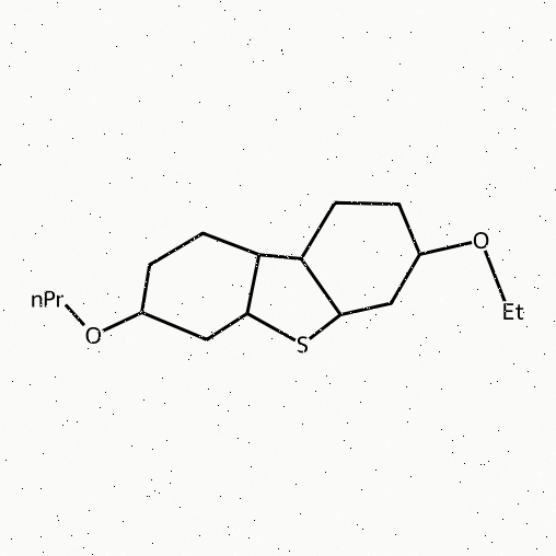 CCCOC1CCC2C(C1)SC1CC(OCC)CCC12